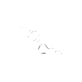 CN1CCN(c2cccc(CC#N)c2)CC1